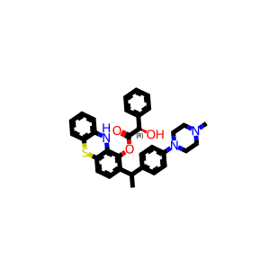 CC(c1ccc(N2CCN(C)CC2)cc1)c1ccc2c(c1OC(=O)[C@H](O)c1ccccc1)Nc1ccccc1S2